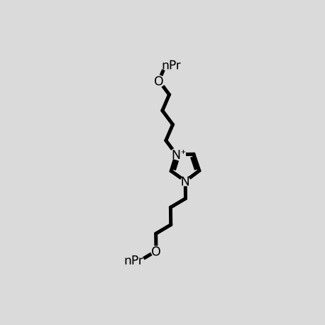 CCCOCCCCn1cc[n+](CCCCOCCC)c1